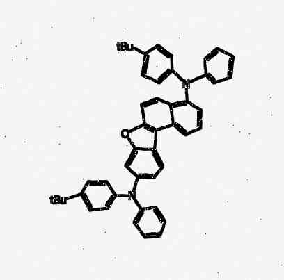 CC(C)(C)c1ccc(N(c2ccccc2)c2ccc3c(c2)oc2ccc4c(N(c5ccccc5)c5ccc(C(C)(C)C)cc5)cccc4c23)cc1